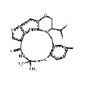 CC1(C)COc2ccc(F)cc2CN2c3nc4c(cnn4cc3OCC2C(F)F)C(=O)N1